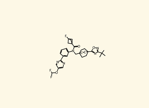 CC(C)(C)c1noc(C23CCC(CN(C(=O)C45CC(F)(C4)C5)c4cccc(-c5ncc(OC(F)F)cn5)c4)(CC2)CC3)n1